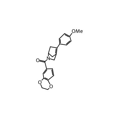 COc1ccc(C2=C3CC(C2)N(C(=O)c2ccc4c(c2)OCCO4)C3)cc1